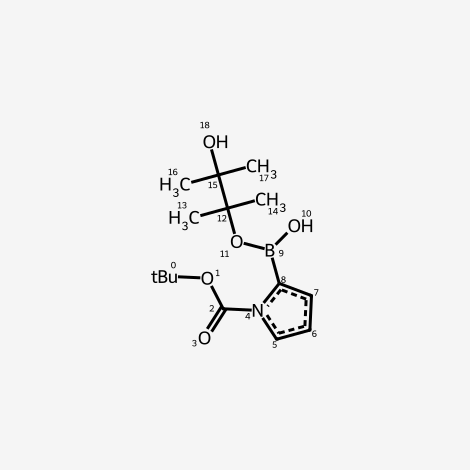 CC(C)(C)OC(=O)n1cccc1B(O)OC(C)(C)C(C)(C)O